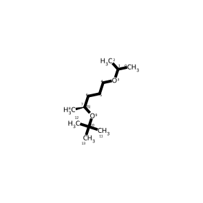 CC(C)OCCC[C@H](C)OC(C)(C)C